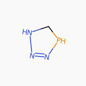 C1NN=NP1